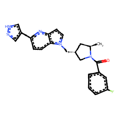 C[C@@H]1C[C@@H](Cn2ccc3nc(-c4cn[nH]c4)ccc32)CN1C(=O)c1cccc(F)c1